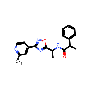 CC(C(=O)N[C@@H](C)c1nc(-c2ccnc(C(F)(F)F)c2)no1)c1ccccc1